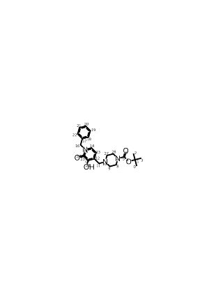 CC(C)(C)OC(=O)N1CCN(Cc2ccn(Cc3ccccc3)c(=O)c2O)CC1